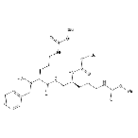 CC(C)(C)OC(=O)NCCC[C@@H](CNC(=O)[C@H](CCCNC(=O)OC(C)(C)C)N(Cc1ccccc1)C(=O)O)NC(=O)OC(C)(C)C